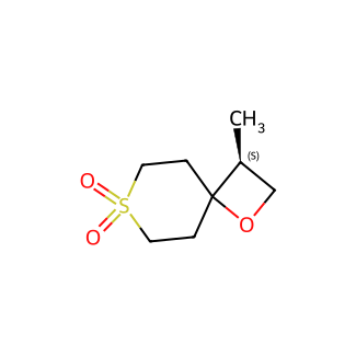 C[C@H]1COC12CCS(=O)(=O)CC2